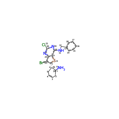 N[C@H]1CC=CC[C@@H]1c1sc2c(NCc3ccccc3)nc(Cl)nc2c1Br